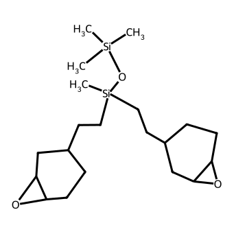 C[Si](C)(C)O[Si](C)(CCC1CCC2OC2C1)CCC1CCC2OC2C1